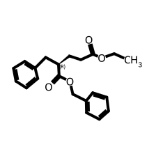 CCOC(=O)CC[C@H](Cc1ccccc1)C(=O)OCc1ccccc1